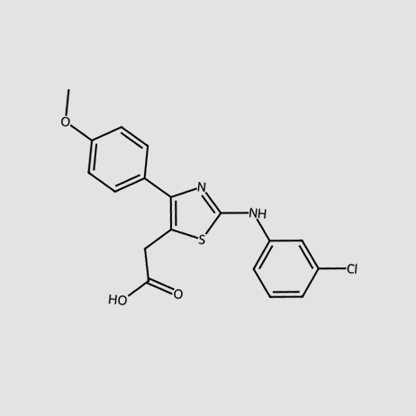 COc1ccc(-c2nc(Nc3cccc(Cl)c3)sc2CC(=O)O)cc1